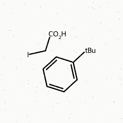 CC(C)(C)c1ccccc1.O=C(O)CI